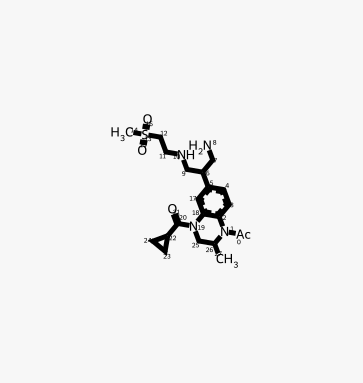 CC(=O)N1c2ccc(C(CN)CNCCS(C)(=O)=O)cc2N(C(=O)C2CC2)CC1C